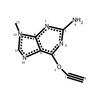 C#COc1nc(N)nc2c1ncn2C